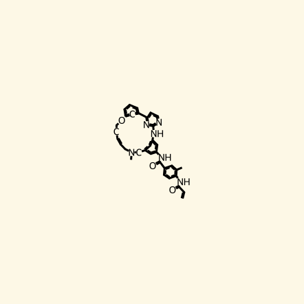 C=CC(=O)Nc1ccc(C(=O)Nc2cc3cc(c2)Nc2nccc(n2)-c2cccc(c2)OCC/C=C/CN(C)C3)cc1C